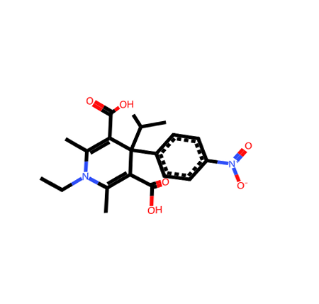 CCN1C(C)=C(C(=O)O)C(c2ccc([N+](=O)[O-])cc2)(C(C)C)C(C(=O)O)=C1C